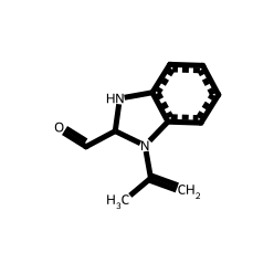 C=C(C)N1c2ccccc2NC1C=O